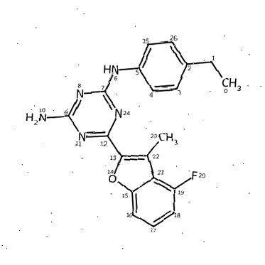 CCc1ccc(Nc2nc(N)nc(-c3oc4cccc(F)c4c3C)n2)cc1